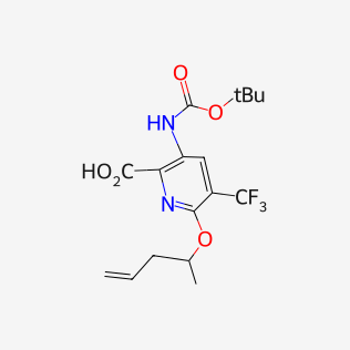 C=CCC(C)Oc1nc(C(=O)O)c(NC(=O)OC(C)(C)C)cc1C(F)(F)F